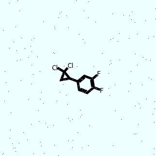 Fc1ccc(C2CC2(Cl)Cl)cc1F